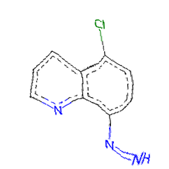 N=Nc1ccc(Cl)c2cccnc12